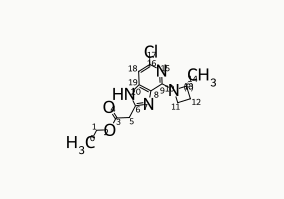 CCOC(=O)Cc1nc2c(N3CC[C@H]3C)nc(Cl)cc2[nH]1